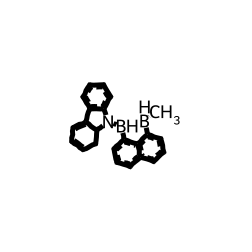 CBc1cccc2cccc(BN3c4ccccc4C4=CC=CCC43)c12